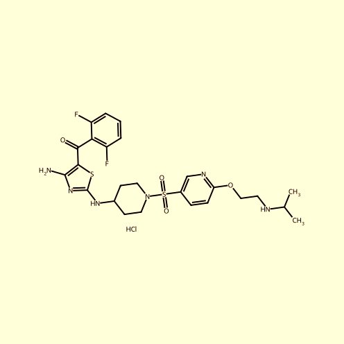 CC(C)NCCOc1ccc(S(=O)(=O)N2CCC(Nc3nc(N)c(C(=O)c4c(F)cccc4F)s3)CC2)cn1.Cl